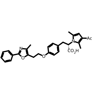 CC(=O)c1cc(C)n([C@@H](Cc2ccc(OCCc3oc(-c4ccccc4)nc3C)cc2)C(=O)O)c1C